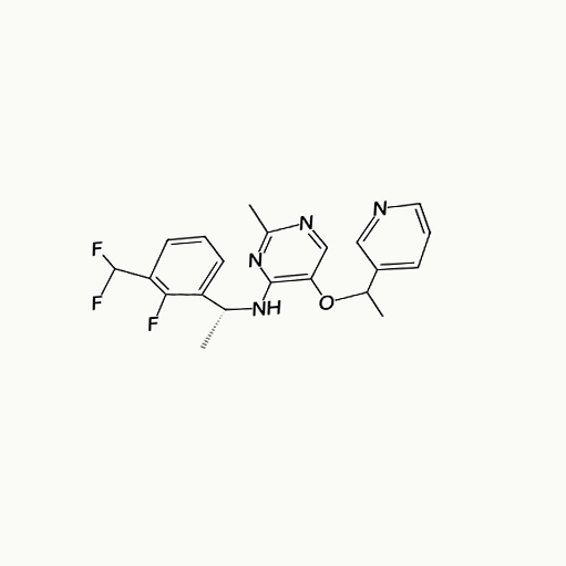 Cc1ncc(OC(C)c2cccnc2)c(N[C@H](C)c2cccc(C(F)F)c2F)n1